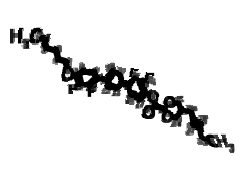 CCCCCCOc1ccc(-c2ccc(-c3ccc(OC(=O)C4OCC(CCCCC)CO4)c(F)c3F)cc2)c(F)c1F